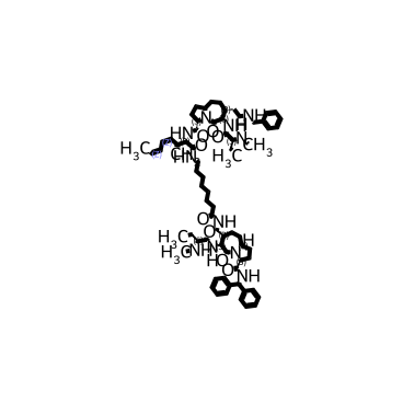 C=C(/C=C\C=C/C)[C@H](NC(=O)[C@@H]1CCC2CC[C@H](CCNCc3ccccc3)[C@H](NC(=O)[C@H](CC)NC)C(=O)N21)C(=O)NCCCCCCCC(=O)NC[C@H]1CC[C@H]2CC[C@@H](C(=O)NC(c3ccccc3)c3ccccc3)N2C(=O)[C@H]1NC(=O)[C@H](CC)NC